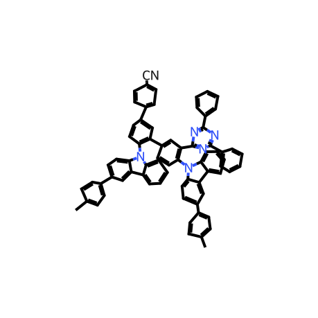 Cc1ccc(-c2ccc3c(c2)c2ccccc2n3-c2ccc(-c3ccc(C#N)cc3)cc2-c2ccc(-n3c4ccccc4c4cc(-c5ccc(C)cc5)ccc43)c(-c3nc(-c4ccccc4)nc(-c4ccccc4)n3)c2)cc1